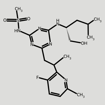 Cc1ccc(F)c(C(C)Cc2nc(N[C@@H](CO)CC(C)C)nc(NS(C)(=O)=O)n2)n1